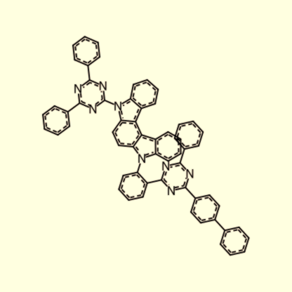 c1ccc(-c2ccc(-c3nc(-c4ccccc4)nc(-c4ccccc4-n4c5ccccc5c5c6c7ccccc7n(-c7nc(-c8ccccc8)nc(-c8ccccc8)n7)c6ccc54)n3)cc2)cc1